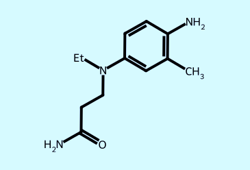 CCN(CCC(N)=O)c1ccc(N)c(C)c1